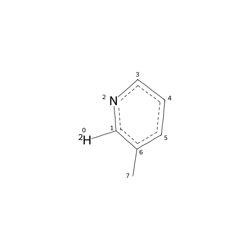 [2H]c1ncccc1C